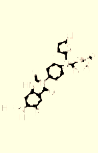 CNc1cc2[nH]c(=O)n(-c3ccc(N(C(=O)N=S(=O)=O)c4ccc(Cl)s4)cc3)c(=O)c2cc1F